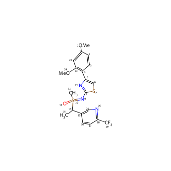 COc1ccc(-c2csc(N=S(C)(=O)C(C)c3ccc(C(F)(F)F)nc3)n2)c(OC)c1